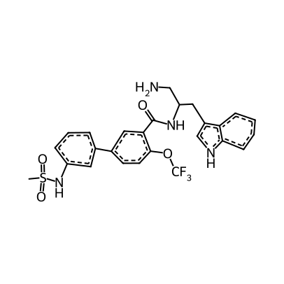 CS(=O)(=O)Nc1cccc(-c2ccc(OC(F)(F)F)c(C(=O)NC(CN)Cc3c[nH]c4ccccc34)c2)c1